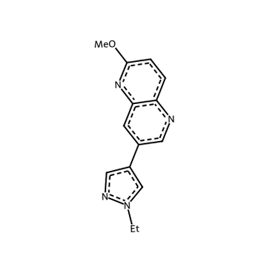 CCn1cc(-c2cnc3ccc(OC)nc3c2)cn1